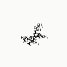 COC(=O)NCCCc1nc([C@@H](C)N(C(=O)[C@H]2CNCCO2)C2CC2)sc1-c1cnn(C)c1